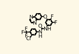 O=C(Nc1ccc(C(F)(F)F)c(Cl)c1)Nc1cc(F)c(F)c(Oc2ccc3nccnc3c2)c1